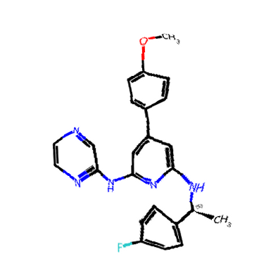 COc1ccc(-c2cc(Nc3cnccn3)nc(N[C@@H](C)c3ccc(F)cc3)c2)cc1